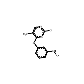 CNc1cccc(Nc2nc(Cl)ncc2C)c1